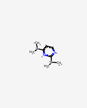 CB(C)c1ccnc(B(C)C)n1